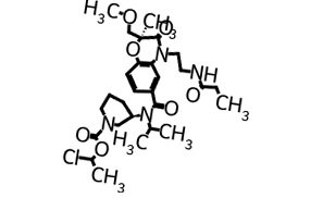 CCC(=O)NCCN1C(=O)[C@](C)(COC)Oc2ccc(C(=O)N(C(C)C)[C@@H]3CCCN(C(=O)OC(C)Cl)C3)cc21